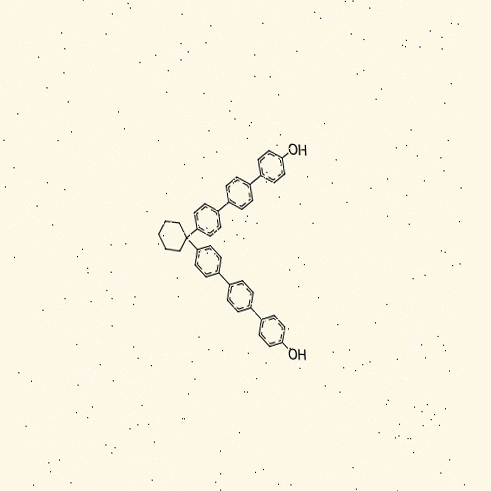 Oc1ccc(-c2ccc(-c3ccc(C4(c5ccc(-c6ccc(-c7ccc(O)cc7)cc6)cc5)CCCCC4)cc3)cc2)cc1